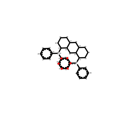 c1ccc(P(c2ccccc2)C2CCCC3CC4CCCC(P(c5ccccc5)c5ccccc5)C4CC32)cc1